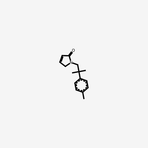 Cc1ccc(C(C)(C)CN2CC=CC2=O)cc1